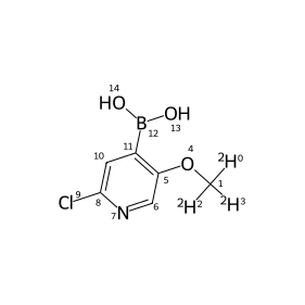 [2H]C([2H])([2H])Oc1cnc(Cl)cc1B(O)O